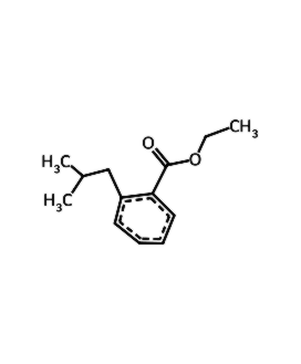 CCOC(=O)c1ccccc1CC(C)C